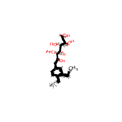 CCc1ccc(C=C(O)[C@H](O)[C@@H](O)[C@H](O)[C@H](O)CO)cc1CC